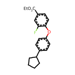 CCOC(=O)c1ccc(Oc2ccc(C3CCCC3)cc2)c(F)c1